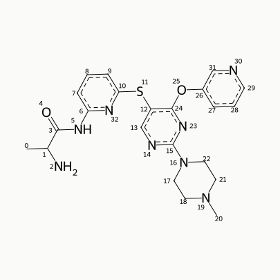 CC(N)C(=O)Nc1cccc(Sc2cnc(N3CCN(C)CC3)nc2Oc2cccnc2)n1